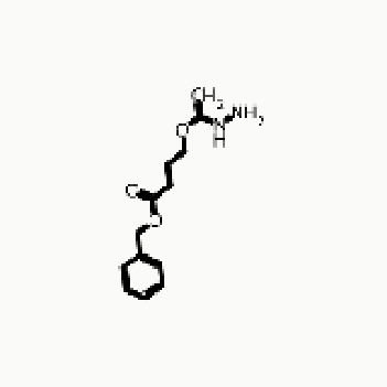 C=C(NN)OCCCC(=O)OCc1ccccc1